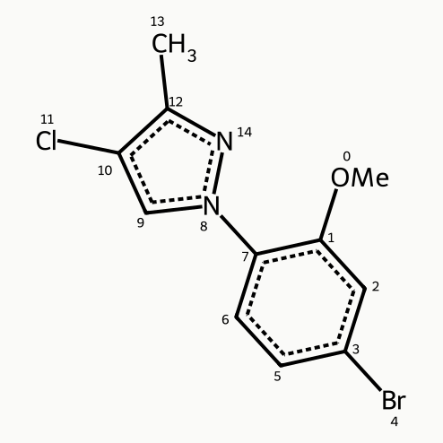 COc1cc(Br)ccc1-n1cc(Cl)c(C)n1